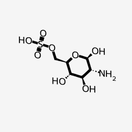 N[C@@H]1[C@@H](O)[C@H](O)[C@@H](COS(=O)(=O)O)O[C@H]1O